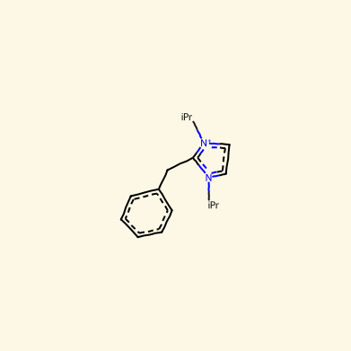 CC(C)n1cc[n+](C(C)C)c1Cc1ccccc1